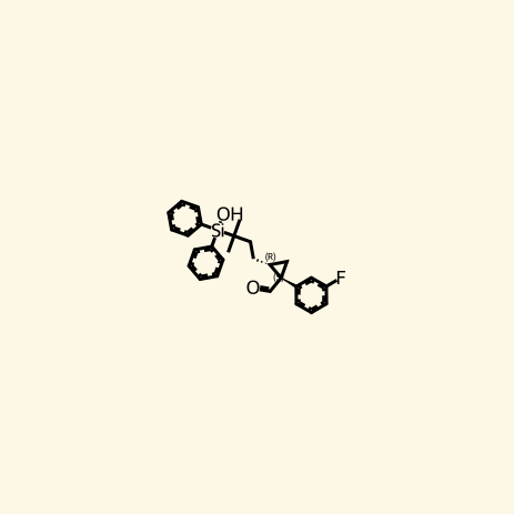 CC(C)(CC[C@@H]1C[C@@]1(C=O)c1cccc(F)c1)[Si](O)(c1ccccc1)c1ccccc1